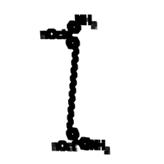 CCCCCCCCC(c1ccc(N)cc1)c1ccc(CCCCCCCCCCCCCCCCCCCCc2ccc(C(CCCCCCCC)c3ccc(N)cc3)cc2)cc1